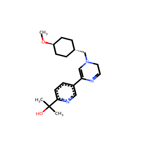 CO[C@H]1CC[C@H](CN2C=C(c3ccc(C(C)(C)O)nc3)N=CC2)CC1